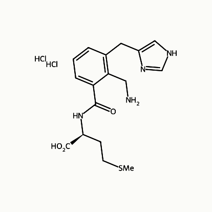 CSCC[C@H](NC(=O)c1cccc(Cc2c[nH]cn2)c1CN)C(=O)O.Cl.Cl